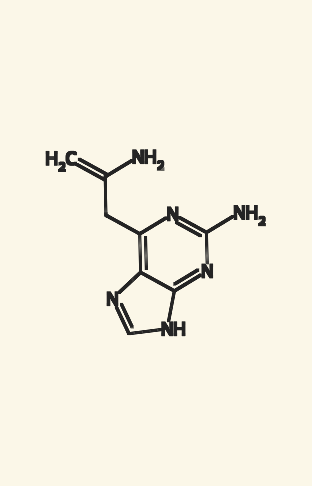 C=C(N)Cc1nc(N)nc2[nH]cnc12